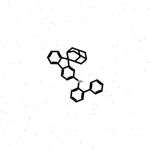 c1ccc(-c2ccccc2Nc2ccc3c(c2)C2(c4ccccc4-3)C3CC4CC(C3)CC2C4)cc1